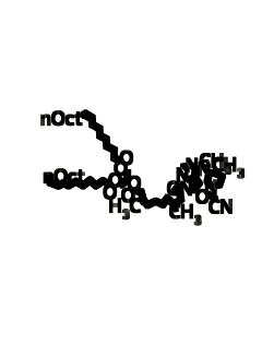 CCCCCCCC/C=C\CCCCCCCC(=O)OCC(COC(=O)CCCCCCC/C=C\CCCCCCCC)OC(=O)CC(C)CCCCC(C)CC(=O)n1ccc2c(N(C)[C@H]3CN(C(=O)CC#N)CC[C@H]3C)ncnc21